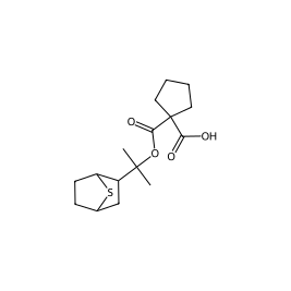 CC(C)(OC(=O)C1(C(=O)O)CCCC1)C1CC2CCC1S2